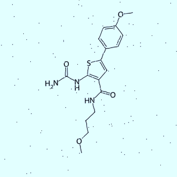 COCCCNC(=O)c1cc(-c2ccc(OC)cc2)sc1NC(N)=O